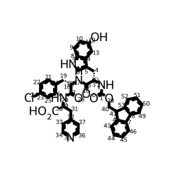 O=C(N[C@@H](Cc1c[nH]c2ccc(O)cc12)C(=O)N[C@@H](Cc1ccc(Cl)cc1)C(=O)N[C@@H](Cc1ccncc1)C(=O)O)OCC1c2ccccc2-c2ccccc21